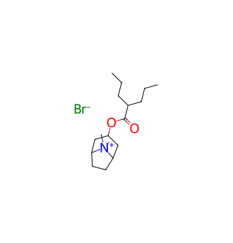 CCCC(CCC)C(=O)OC1CC2CCC(C1)[N+]2(C)C.[Br-]